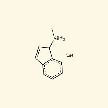 C[SiH2]C1C=Cc2ccccc21.[LiH]